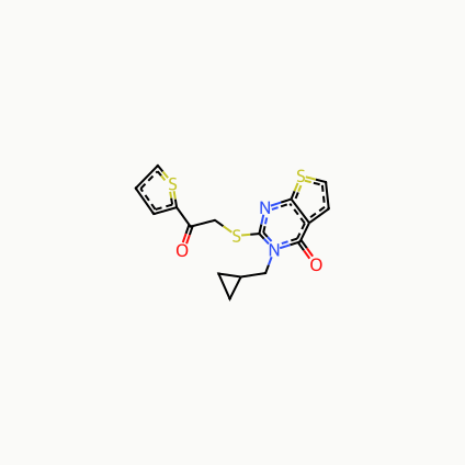 O=C(CSc1nc2sccc2c(=O)n1CC1CC1)c1cccs1